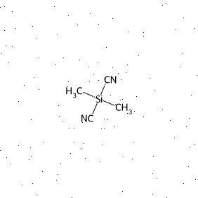 C[Si](C)(C#N)C#N